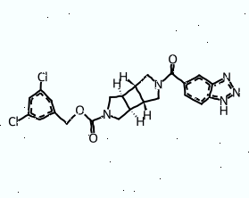 O=C(OCc1cc(Cl)cc(Cl)c1)N1C[C@@H]2[C@H](C1)[C@H]1CN(C(=O)c3ccc4[nH]nnc4c3)C[C@@H]21